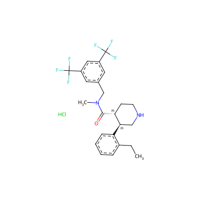 CCc1ccccc1[C@@H]1CNCC[C@H]1C(=O)N(C)Cc1cc(C(F)(F)F)cc(C(F)(F)F)c1.Cl